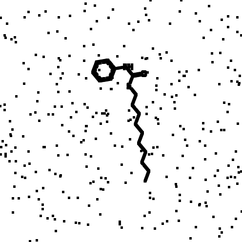 CCCCCCCCCCSC(=O)Nc1ccccc1